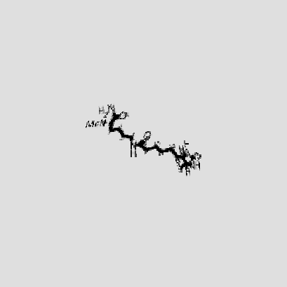 CN[C@@H](CCCCNC(=O)CCCCC1SC[C@@H]2NC(=O)N[C@H]12)C(N)=O